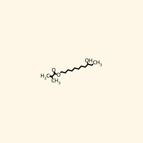 C=C(C)C(=O)OCCCCCCCCC(O)CC